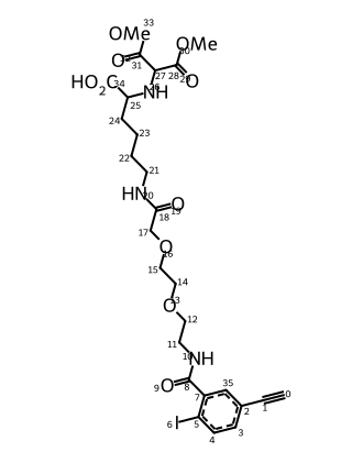 C#Cc1ccc(I)c(C(=O)NCCOCCOCC(=O)NCCCCC(NC(C(=O)OC)C(=O)OC)C(=O)O)c1